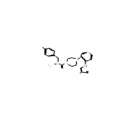 Cc1cnn(-c2ccncc2N2CCN(C(=O)N(C)Cc3ccc(F)cc3)CC2)c1